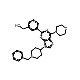 OCc1cncc(-c2nc(N3CCOCC3)c3ncn(C4CCN(Cc5ccccc5)CC4)c3n2)c1